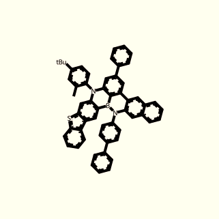 Cc1cc(C(C)(C)C)ccc1N1c2cc3sc4ccccc4c3cc2B2c3c(cc(-c4ccccc4)cc31)-c1cc3ccccc3cc1N2c1ccc(-c2ccccc2)cc1